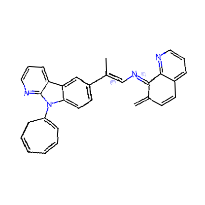 C=C1C=Cc2cccnc2/C1=N/C=C(\C)c1ccc2c(c1)c1cccnc1n2C1=CC=CC=CC1